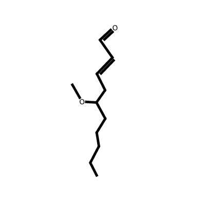 CCCCCC(CC=CC=O)OC